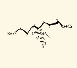 CCCCCCCCCCCCCCCC=O.CCO.[HH].[HH]